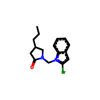 CCCC1CC(=O)N(Cn2c(Br)cc3ccccc32)C1